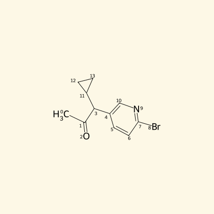 CC(=O)C(c1ccc(Br)nc1)C1CC1